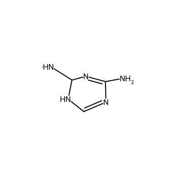 [NH]C1N=C(N)N=CN1